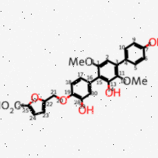 COc1cc(-c2ccc(O)cc2)c(OC)c(O)c1-c1ccc(OCc2ccc(C(=O)O)o2)c(O)c1